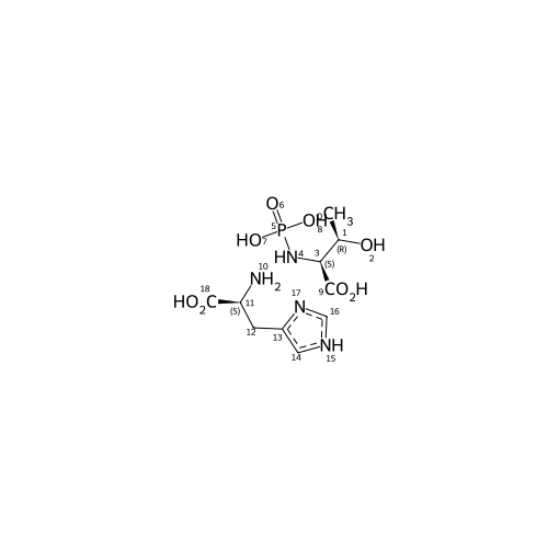 C[C@@H](O)[C@H](NP(=O)(O)O)C(=O)O.N[C@@H](Cc1c[nH]cn1)C(=O)O